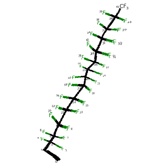 C=CC(F)(F)C(F)(F)C(F)(F)C(F)(F)C(F)(F)C(F)(F)C(F)(F)C(F)(F)C(F)(F)C(F)(F)C(F)(F)C(F)(F)C(F)(F)C(F)(F)F